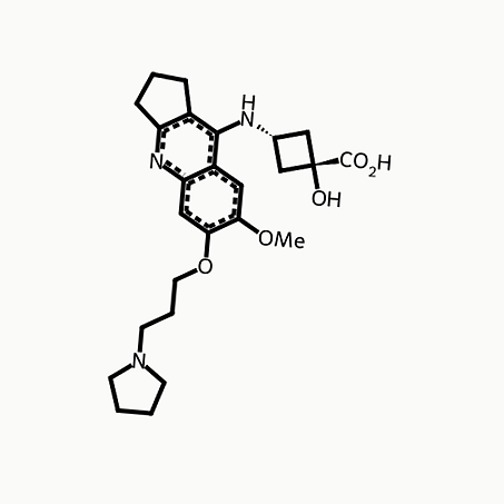 COc1cc2c(N[C@H]3C[C@](O)(C(=O)O)C3)c3c(nc2cc1OCCCN1CCCC1)CCC3